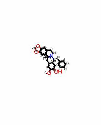 COc1cc2c(cc1O)[C@@H](Cc1ccccc1)N1CCc3cc4c(cc3[C@@H]1C2)OCO4